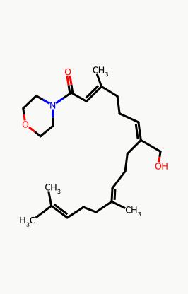 CC(C)=CCC/C(C)=C/CC/C(=C\CC/C(C)=C/C(=O)N1CCOCC1)CO